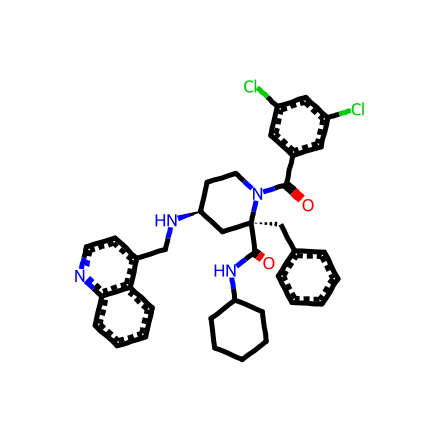 O=C(c1cc(Cl)cc(Cl)c1)N1CC[C@H](NCc2ccnc3ccccc23)C[C@]1(Cc1ccccc1)C(=O)NC1CCCCC1